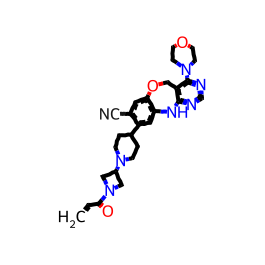 C=CC(=O)N1CC(N2CCC(c3cc4c(cc3C#N)OCc3c(ncnc3N3CCOCC3)N4)CC2)C1